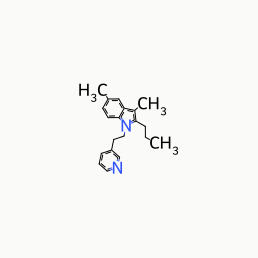 CCCc1c(C)c2cc(C)ccc2n1CCc1cccnc1